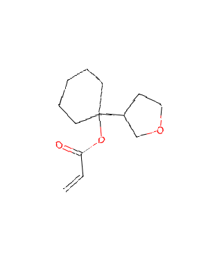 C=CC(=O)OC1(C2CCOC2)CCCCC1